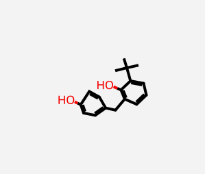 CC(C)(C)c1cccc(Cc2ccc(O)cc2)c1O